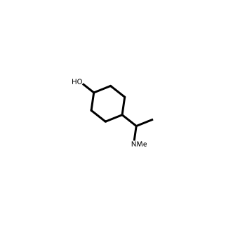 CNC(C)C1CCC(O)CC1